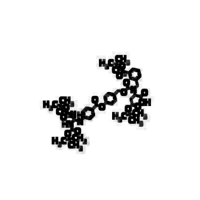 CC(C)(C)OC(=O)CC(C(=O)O)N(Cc1cccc(C(=O)OC(C)(C)C)c1)C(=O)OCc1ccc(OC(=O)c2ccc(NC(=NC(=O)OC(C)(C)C)NC(=O)OC(C)(C)C)cc2)cc1